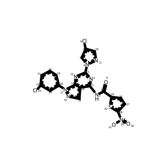 O=C(Nc1nc(-n2cc(Cl)cn2)nc2c1cnn2-c1cccc(Cl)c1)c1ccc([N+](=O)[O-])s1